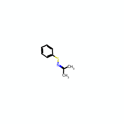 CC(C)=NSc1ccccc1